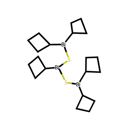 C1C[CH]([Bi]([S][Bi]([CH]2CCC2)[CH]2CCC2)[S][Bi]([CH]2CCC2)[CH]2CCC2)C1